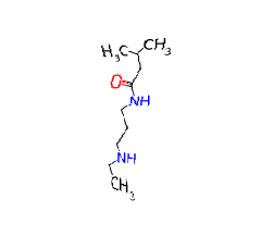 CCNCCCNC(=O)CC(C)C